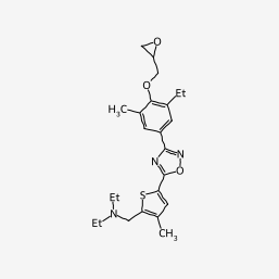 CCc1cc(-c2noc(-c3cc(C)c(CN(CC)CC)s3)n2)cc(C)c1OCC1CO1